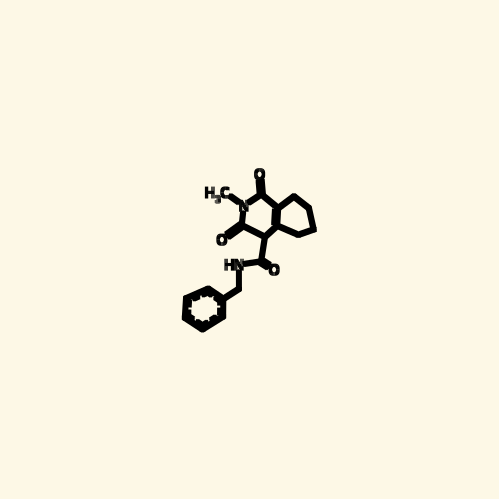 CN1C(=O)C2=C(CCCC2)C(C(=O)NCc2ccccc2)C1=O